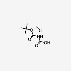 CC(C)(C)OC(=O)NC(=O)O.CCl